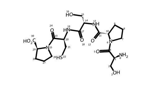 N[C@@H](CO)C(=O)N1CCC[C@H]1C(=O)N[C@@H](CO)C(=O)N[C@@H](CS)C(=O)N1CCC[C@H]1C(=O)O